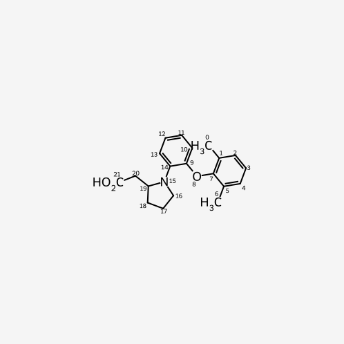 Cc1cccc(C)c1Oc1ccccc1N1CCCC1CC(=O)O